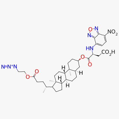 C[C@H](CCC(=O)OCCN=[N+]=[N-])C1CC[C@H]2[C@@H]3CC[C@@H]4C[C@H](OC(=O)[C@H](CC(=O)O)Nc5ccc([N+](=O)[O-])c6nonc56)CC[C@]4(C)[C@H]3CC[C@]12C